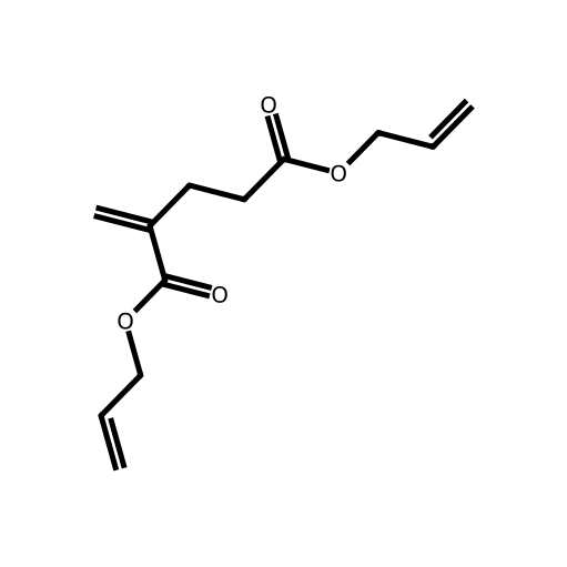 C=CCOC(=O)CCC(=C)C(=O)OCC=C